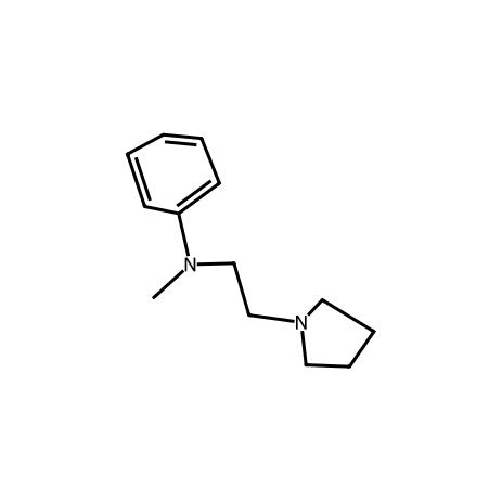 CN(CCN1CCCC1)c1ccccc1